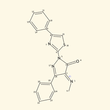 C/N=C1/C(=O)N(c2nc(-c3ccccc3)cs2)N=C1c1ccccc1